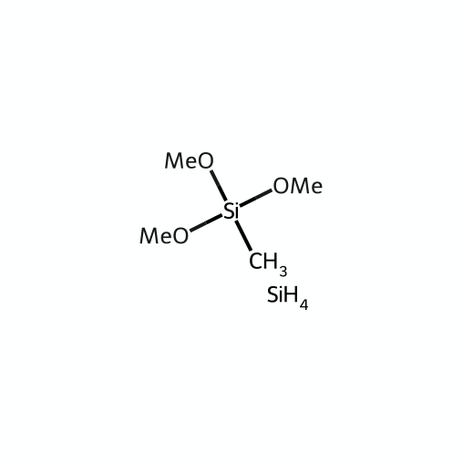 CO[Si](C)(OC)OC.[SiH4]